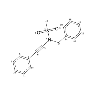 CS(=O)(=O)N(C#Cc1ccccc1)Cc1ccccc1